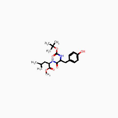 COC(=O)C(CC(C)C)NC(=O)C(Cc1ccc(O)cc1)NC(=O)OC(C)(C)C